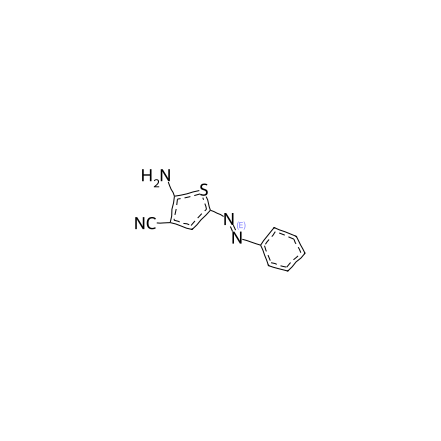 N#Cc1cc(/N=N/c2ccccc2)sc1N